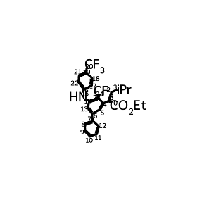 CCOC(=O)C(CC(C)C)c1cc(-c2ccccc2)cc(Nc2ccc(C(F)(F)F)cc2)c1C(F)(F)F